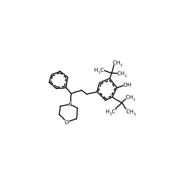 CC(C)(C)c1cc(CCC(c2ccccc2)N2CCOCC2)cc(C(C)(C)C)c1O